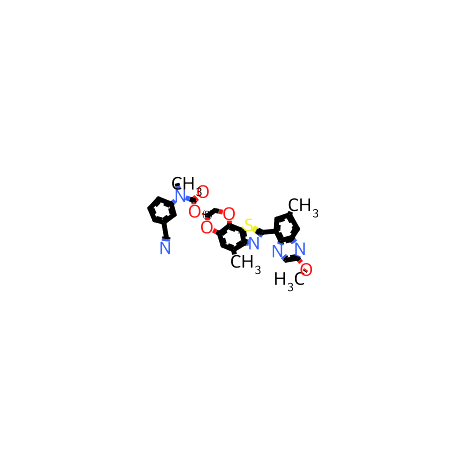 COc1cnc2c(-c3nc4c(C)cc5c(c4s3)OC[C@@H](OC(=O)N(C)c3cccc(C#N)c3)O5)cc(C)cc2n1